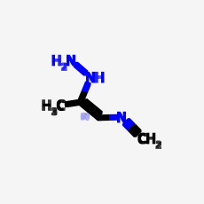 C=N/C=C(/C)NN